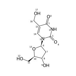 O=c1[nH]c(=O)n([C@H]2CC(O)[C@@H](CO)O2)cc1CO